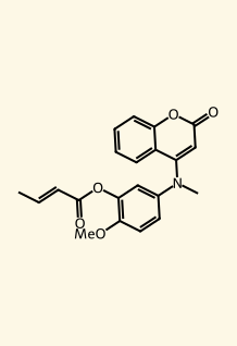 C/C=C/C(=O)Oc1cc(N(C)c2cc(=O)oc3ccccc23)ccc1OC